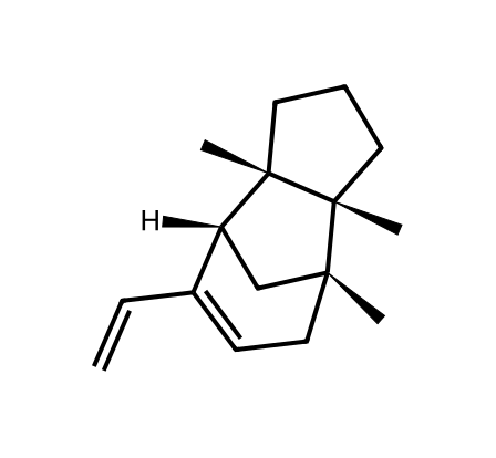 C=CC1=CC[C@]2(C)C[C@H]1[C@]1(C)CCC[C@]21C